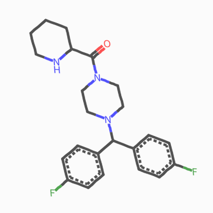 O=C(C1CCCCN1)N1CCN(C(c2ccc(F)cc2)c2ccc(F)cc2)CC1